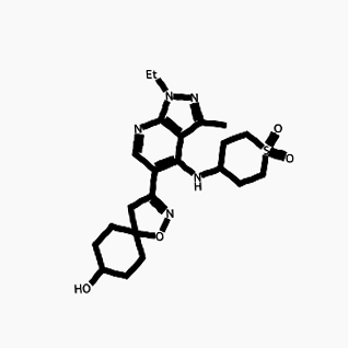 CCn1nc(C)c2c(NC3CCS(=O)(=O)CC3)c(C3=NOC4(CCC(O)CC4)C3)cnc21